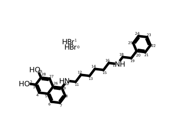 Br.Br.Oc1cc2cccc(NCCCCCCNCCc3ccccc3)c2cc1O